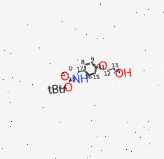 C[C@@H](NC(=O)OC(C)(C)C)c1ccc(OCCO)cc1